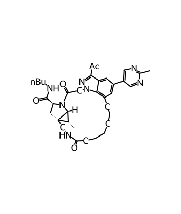 CCCCNC(=O)[C@@H]1C[C@]23CNC(=O)CCCCCCc4cc(-c5cnc(C)nc5)cc5c(C(C)=O)nn(c45)CC(=O)N1[C@@H]2[C@@H]3C